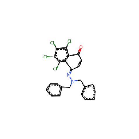 O=C1C=CC(=NN(Cc2ccccc2)Cc2ccccc2)c2c(Cl)c(Cl)c(Cl)c(Cl)c21